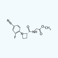 COC(=O)CNC(=O)[C@@H]1CCN1c1ccc(C#N)cc1F